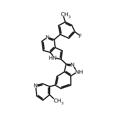 Cc1cc(F)cc(-c2nccc3[nH]c(-c4n[nH]c5ccc(-c6cnccc6C)cc45)cc23)c1